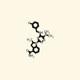 CC1Cc2c(C(N)=O)cccc2N1c1nnc(N(C)C)c(NCc2cccc(F)c2)n1